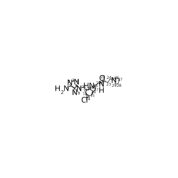 Nc1ncnc2c1ncn2Cc1cc(Cl)cc2cc(CNC(=O)CCN3CCCC3)[nH]c12